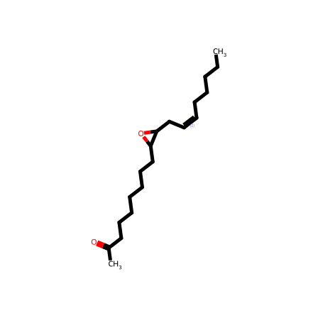 CCCCC/C=C\CC1OC1CCCCCCCC(C)=O